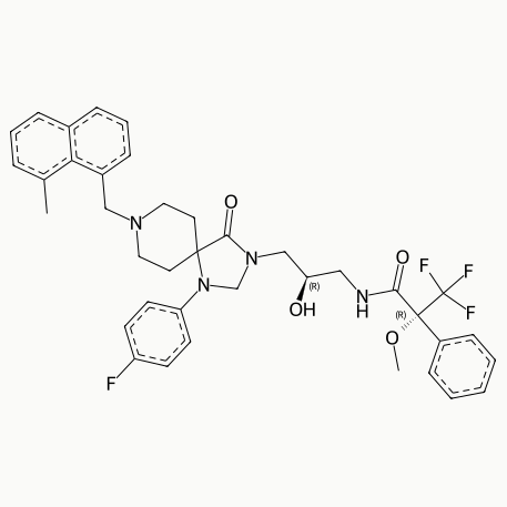 CO[C@@](C(=O)NC[C@@H](O)CN1CN(c2ccc(F)cc2)C2(CCN(Cc3cccc4cccc(C)c34)CC2)C1=O)(c1ccccc1)C(F)(F)F